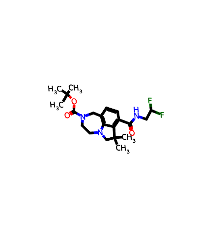 CC(C)(C)OC(=O)N1CCN2CC(C)(C)c3c(C(=O)NCC(F)F)ccc(c32)C1